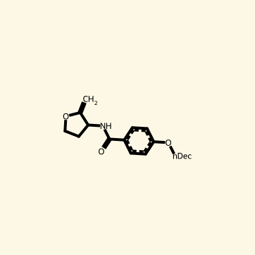 C=C1OCCC1NC(=O)c1ccc(OCCCCCCCCCC)cc1